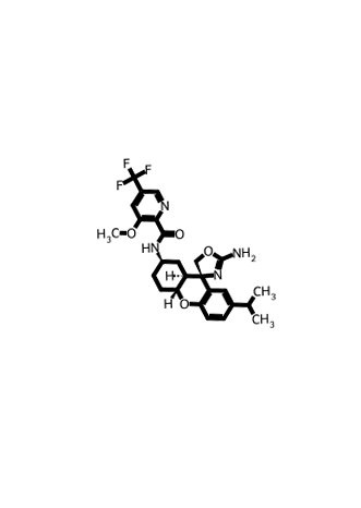 COc1cc(C(F)(F)F)cnc1C(=O)N[C@@H]1CC[C@H]2Oc3ccc(C(C)C)cc3[C@]3(COC(N)=N3)[C@@H]2C1